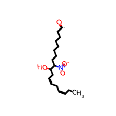 CC/C=C\C/C=C\CC(O)C(CCCCCCC[C]=O)[N+](=O)[O-]